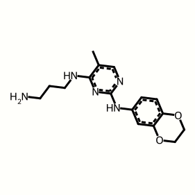 Cc1cnc(Nc2ccc3c(c2)OCCO3)nc1NCCCN